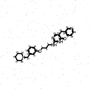 O=c1[nH]c(NCCCOc2cccc(CN3CCCCC3)c2)ncc1Cc1cccnc1